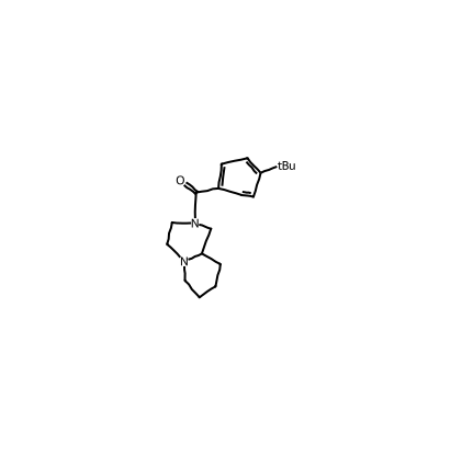 CC(C)(C)c1ccc(C(=O)N2CCN3CCCCC3C2)cc1